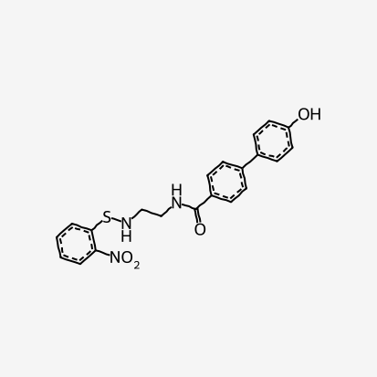 O=C(NCCNSc1ccccc1[N+](=O)[O-])c1ccc(-c2ccc(O)cc2)cc1